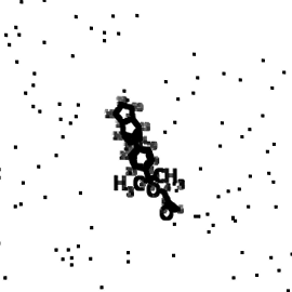 CC(C)(OCC1CO1)c1ccc(C2C3CCC2C2CCCC23)cc1